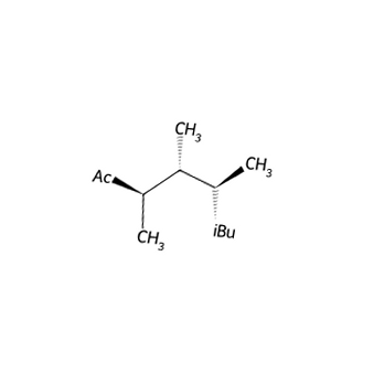 CC[C@@H](C)[C@H](C)[C@@H](C)[C@@H](C)C(C)=O